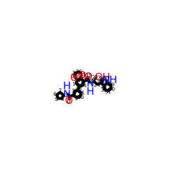 O=C(NC1CCCC1)c1cccc(-c2cc3c(c(C(=O)N[C@@H](CO)Cc4c[nH]c5ccccc45)c2)OCCO3)c1